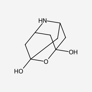 OC12CC3CC(O)(CC(C1)N3)O2